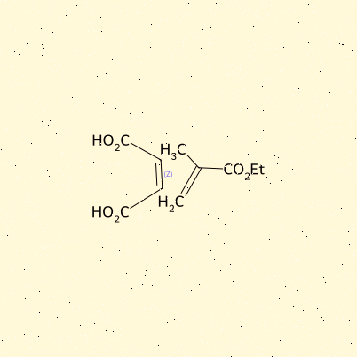 C=C(C)C(=O)OCC.O=C(O)/C=C\C(=O)O